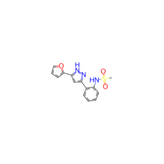 CS(=O)(=O)Nc1ccccc1-c1cc(-c2ccco2)[nH]n1